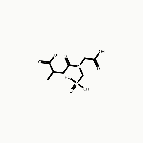 CC(CC(=O)N(CC(=O)O)CP(=O)(O)O)C(=O)O